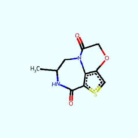 CC1CN2C(=O)COc3csc(c32)C(=O)N1